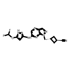 N#C[C@H]1C[C@H](Cn2ncc3ncc(Nc4cc(OC(F)F)[nH]n4)nc32)C1